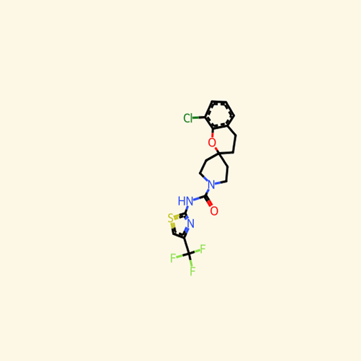 O=C(Nc1nc(C(F)(F)F)cs1)N1CCC2(CCc3cccc(Cl)c3O2)CC1